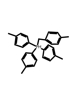 Cc1ccc(C[PH](c2ccc(C)cc2)(c2ccc(C)cc2)c2ccc(C)cc2)cc1